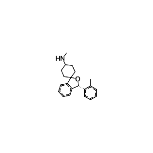 CNC1CCC2(CC1)O[C@H](c1ccccc1C)c1ccccc12